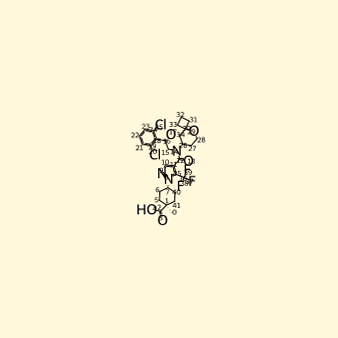 C[C@]1(C(=O)O)CC[C@H](n2ncc(C(=O)N(CC(=O)c3c(Cl)cccc3Cl)[C@H]3CCOC4(CCC4)C3)c2C(F)(F)F)CC1